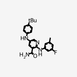 Cc1cc(F)cc(Nc2ncc(Nc3ccc(C(C)(C)C)cc3)cc2C(N)=O)c1